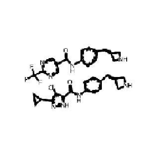 O=C(Nc1ccc(C=C2CNC2)cc1)c1[nH]nc(C2CC2)c1Cl.O=C(Nc1ccc(C=C2CNC2)cc1)c1cnc(C(F)(F)F)nc1